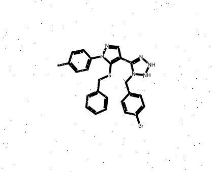 Cc1ccc(-n2ncc(C3=NNNN3Cc3ccc(Br)cc3)c2SCc2ccccc2)cc1